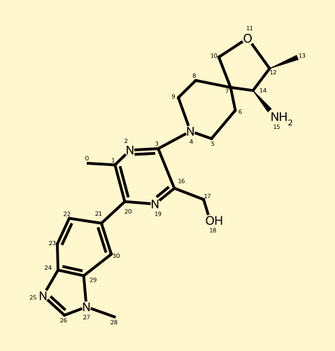 Cc1nc(N2CCC3(CC2)CO[C@@H](C)[C@H]3N)c(CO)nc1-c1ccc2ncn(C)c2c1